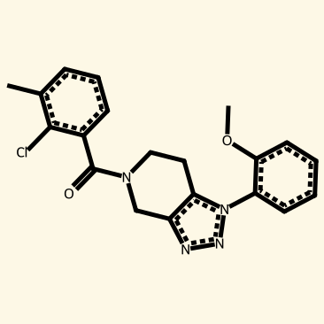 COc1ccccc1-n1nnc2c1CCN(C(=O)c1cccc(C)c1Cl)C2